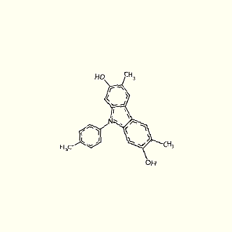 Cc1ccc(-n2c3cc(O)c(C)cc3c3cc(C)c(O)cc32)cc1